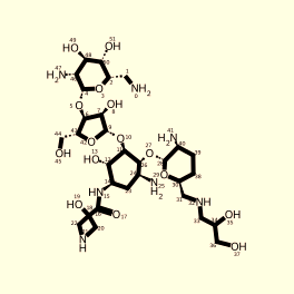 NC[C@@H]1O[C@H](O[C@H]2[C@@H](O)[C@H](O[C@@H]3[C@@H](O)[C@H](NC(=O)C4(O)CNC4)C[C@H](N)[C@H]3O[C@H]3O[C@H](CNCC(O)CO)CC[C@H]3N)O[C@@H]2CO)[C@H](N)[C@@H](O)[C@@H]1O